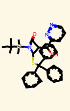 CC(C)(C)[Si](C)(C)N1C(=O)C(C(O)c2cccnn2)C1SC(c1ccccc1)(c1ccccc1)c1ccccc1